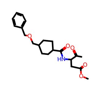 COC(=O)CC(NC(=O)C1CCC(COCc2ccccc2)CC1)C(C)=O